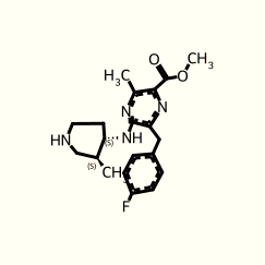 COC(=O)c1nc(Cc2ccc(F)cc2)c(N[C@H]2CCNC[C@@H]2C)nc1C